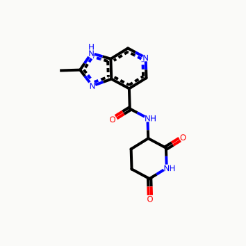 Cc1nc2c(C(=O)NC3CCC(=O)NC3=O)cncc2[nH]1